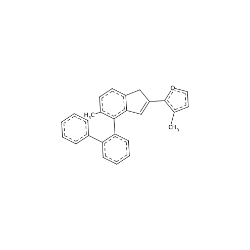 Cc1ccoc1C1=Cc2c(ccc(C)c2-c2ccccc2-c2ccccc2)C1